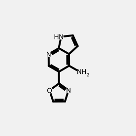 Nc1c(-c2ncco2)cnc2[nH]ccc12